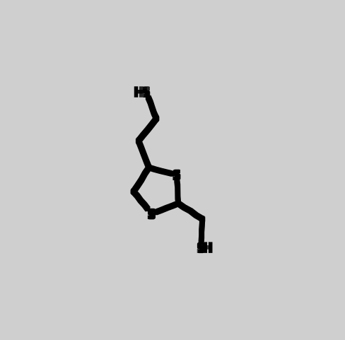 SCCC1CSC(CS)S1